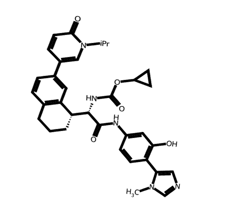 CC(C)n1cc(-c2ccc3c(c2)[C@H]([C@H](NC(=O)OC2CC2)C(=O)Nc2ccc(-c4cncn4C)c(O)c2)CCC3)ccc1=O